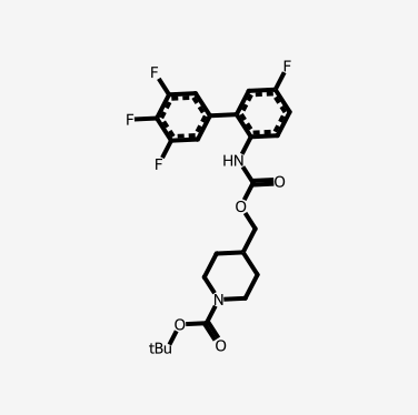 CC(C)(C)OC(=O)N1CCC(COC(=O)Nc2ccc(F)cc2-c2cc(F)c(F)c(F)c2)CC1